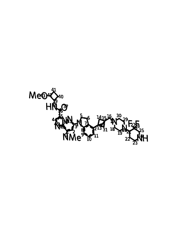 CNc1cc(N2CCc3c2cccc3C23CC(CN4CCN(C5CCNCC5(F)F)CC4)(C2)C3)nn2c(C(=O)N[C@@H]3CC[C@H]3OC)cnc12